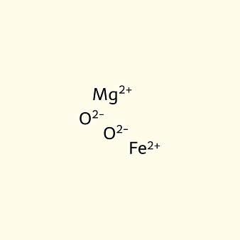 [Fe+2].[Mg+2].[O-2].[O-2]